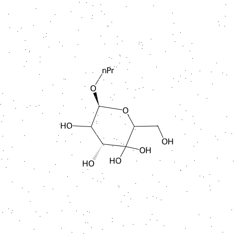 CCCO[C@H]1OC(CO)C(O)(O)[C@H](O)C1O